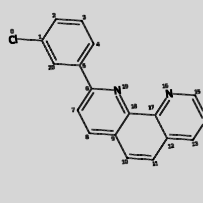 Clc1cccc(-c2ccc3ccc4cccnc4c3n2)c1